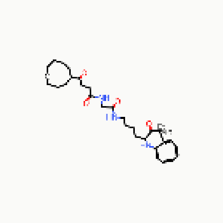 CCC1(CC)C(=O)C(CCCCNC(=O)CNC(=O)CCC(=O)C2CCCCCCCC2)NC2=C/C=C\C=C/C=C\21